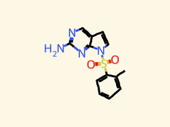 Cc1ccccc1S(=O)(=O)n1ccc2cnc(N)nc21